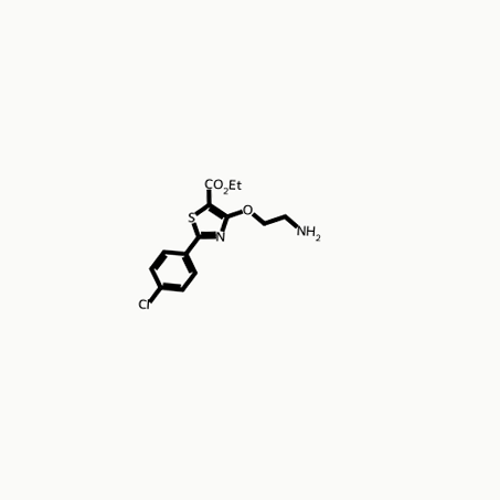 CCOC(=O)c1sc(-c2ccc(Cl)cc2)nc1OCCN